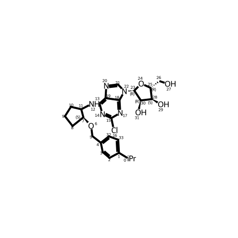 CC(C)c1ccc(CO[C@H]2CCCC2Nc2nc(Cl)nc3c2ncn3[C@@H]2O[C@H](CO)[C@@H](O)[C@H]2O)cc1